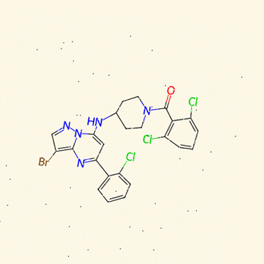 O=C(c1c(Cl)cccc1Cl)N1CCC(Nc2cc(-c3ccccc3Cl)nc3c(Br)cnn23)CC1